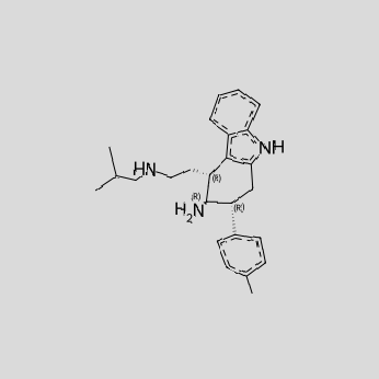 Cc1ccc([C@H]2Cc3[nH]c4ccccc4c3[C@@H](CCNCC(C)C)[C@@H]2N)cc1